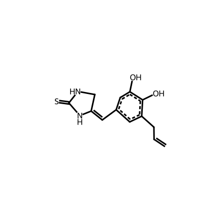 C=CCc1cc(/C=C2\CNC(=S)N2)cc(O)c1O